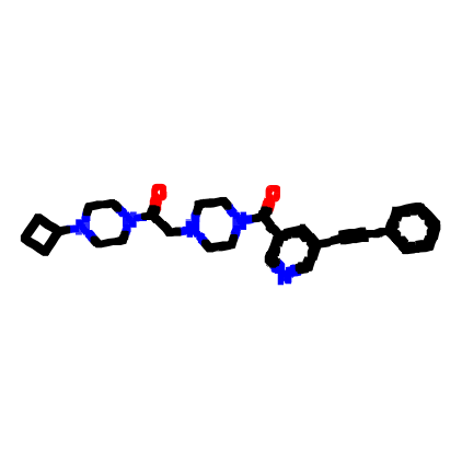 O=C(CN1CCN(C(=O)c2cncc(C#Cc3ccccc3)c2)CC1)N1CCN(C2CCC2)CC1